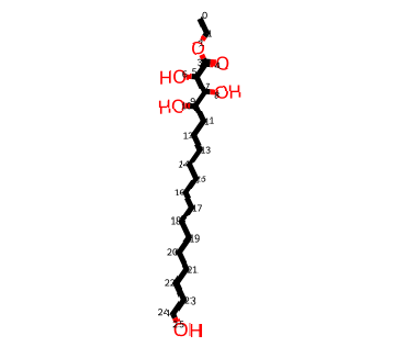 CCOC(=O)C(O)C(O)C(O)CCCCCCCCCCCCCCO